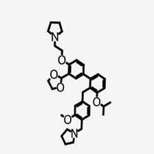 COc1cc(Cc2c(OC(C)C)cccc2-c2ccc(OCCN3CCCC3)c(C3OCCO3)c2)ccc1CN1CCCC1